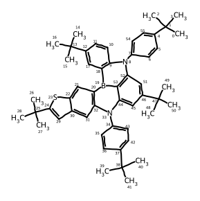 CC(C)(C)c1ccc(N2c3ccc(C(C)(C)C)cc3B3c4cc5sc(C(C)(C)C)cc5cc4N(c4ccc(C(C)(C)C)cc4)c4cc(C(C)(C)C)cc2c43)cc1